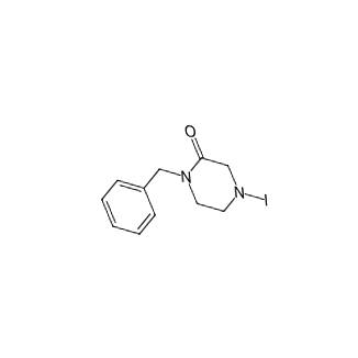 O=C1CN(I)CCN1Cc1ccccc1